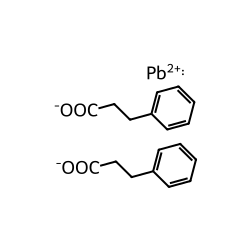 O=C([O-])CCc1ccccc1.O=C([O-])CCc1ccccc1.[Pb+2]